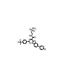 NS(=O)(=O)CCNC(=O)/C(=N/C(=O)c1ccc(C(F)(F)F)cc1)c1nc2ccc(-c3ccc(F)nc3)cc2s1